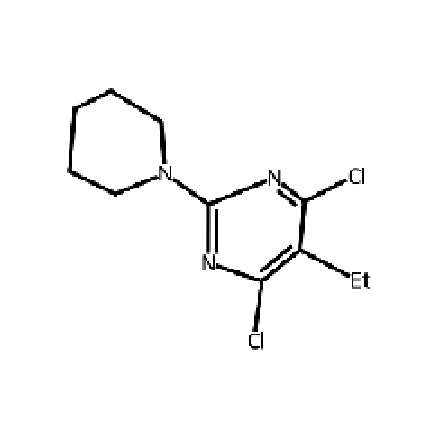 CCc1c(Cl)nc(N2CCCCC2)nc1Cl